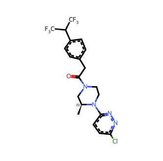 C[C@H]1CN(C(=O)Cc2ccc(C(C(F)(F)F)C(F)(F)F)cc2)CCN1c1ccc(Cl)nn1